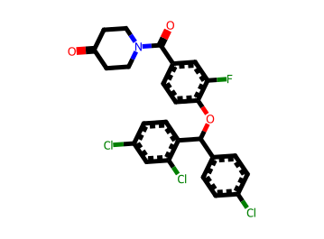 O=C1CCN(C(=O)c2ccc(OC(c3ccc(Cl)cc3)c3ccc(Cl)cc3Cl)c(F)c2)CC1